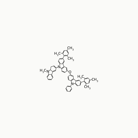 Cc1cc(C)c(-c2ccc3c(c2)c2cc(Oc4ccc5c(c4)c4cc(-c6c(C)cc(C)cc6C)ccc4n5-c4ccccc4)ccc2n3C2=CCC3C(=C2)c2ccccc2N3C)c(C)c1